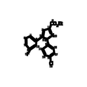 CCOC(=O)c1cc(-c2cccc(F)c2)n(-c2ccc(Cl)cc2)n1